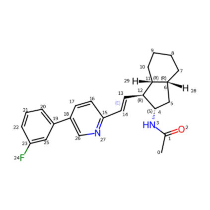 CC(=O)N[C@H]1C[C@H]2CCCC[C@H]2[C@@H]1/C=C/c1ccc(-c2cccc(F)c2)cn1